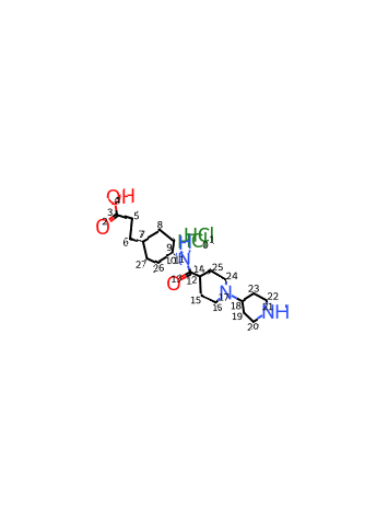 Cl.Cl.O=C(O)CC[C@H]1CC[C@H](NC(=O)C2CCN(C3CCNCC3)CC2)CC1